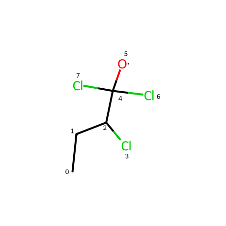 CCC(Cl)C([O])(Cl)Cl